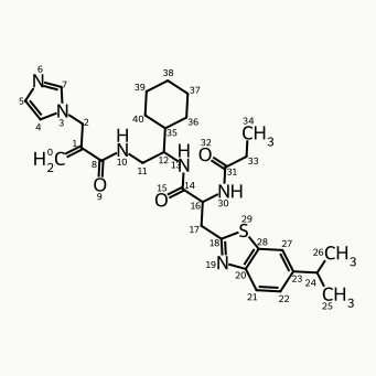 C=C(Cn1ccnc1)C(=O)NCC(NC(=O)C(Cc1nc2ccc(C(C)C)cc2s1)NC(=O)CC)C1CCCCC1